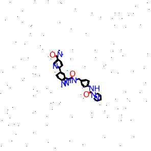 CN(C)C(=O)c1ccc(-c2ccc3c(c2)c(C(=O)NCc2ccc(NC(=O)N4CC5CC(C4)N5C)cc2)nn3C)nc1